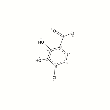 CCC(=O)c1ccc(Cl)c(O)c1O